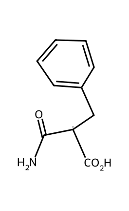 NC(=O)[C](Cc1ccccc1)C(=O)O